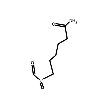 C=[N+](C=O)CCCCCC(N)=O